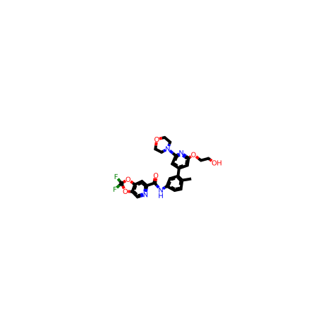 Cc1ccc(NC(=O)c2cc3c(cn2)OC(F)(F)O3)cc1-c1cc(OCCO)nc(N2CCOCC2)c1